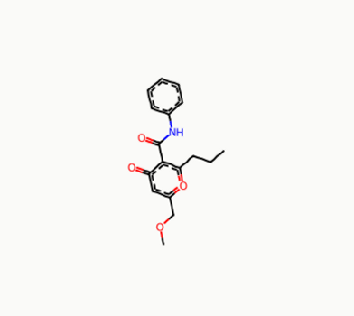 CCCc1oc(COC)cc(=O)c1C(=O)Nc1ccccc1